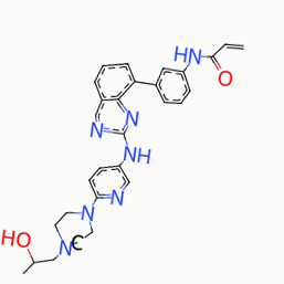 C=CC(=O)Nc1cccc(-c2cccc3cnc(Nc4ccc(N5CCN(CC(C)O)CC5)nc4)nc23)c1